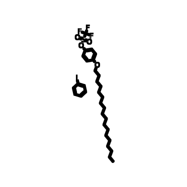 CCCCCCCCCCCCCCCCCCOc1ccc(OS(=O)(=O)C(F)(F)F)cc1.Ic1ccccc1